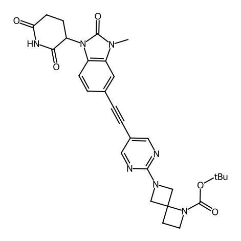 Cn1c(=O)n(C2CCC(=O)NC2=O)c2ccc(C#Cc3cnc(N4CC5(CCN5C(=O)OC(C)(C)C)C4)nc3)cc21